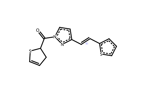 O=C(C1CC=CS1)n1ccc(/C=C/c2cccs2)n1